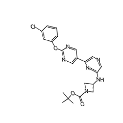 CC(C)(C)OC(=O)N1CC(Nc2cncc(-c3cnc(Oc4cccc(Cl)c4)nc3)n2)C1